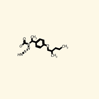 CCCC(C)COc1ccc(C(C)N(N=[N+]=N)C(=O)[O-])cc1